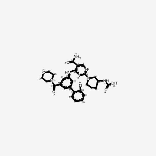 NC(=O)c1cnc(N2CCCC(NC(=O)O)C2)nc1Nc1cc(C(=O)N2CCOCC2)cc(-c2ccccc2Cl)c1